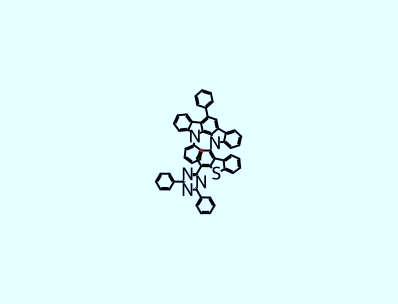 c1ccc(-c2nc(-c3ccccc3)nc(-c3ccc(-n4c5ccccc5c5cc(-c6ccccc6)c6c7ccccc7n(-c7ccccc7)c6c54)c4c3sc3ccccc34)n2)cc1